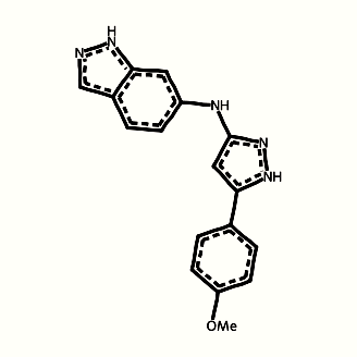 COc1ccc(-c2cc(Nc3ccc4cn[nH]c4c3)n[nH]2)cc1